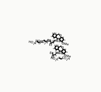 CCN(CC)CCNC1c2cc(OC)ccc2OCc2ncccc21.CCN(CC)CCNC1c2cc(OC)ccc2OCc2ncccc21.O=C(O)C=CC(=O)O.O=C(O)C=CC(=O)O.O=C(O)C=CC(=O)O